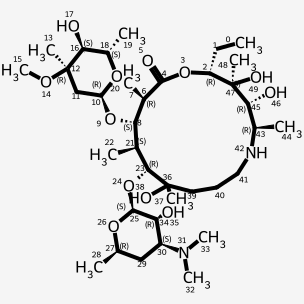 CC[C@H]1OC(=O)[C@H](C)[C@@H](O[C@H]2C[C@@](C)(OC)[C@@H](O)[C@H](C)O2)[C@H](C)[C@@H](O[C@@H]2O[C@H](C)C[C@H](N(C)C)[C@H]2O)C(C)(O)CCCN[C@H](C)[C@@H](O)[C@]1(C)O